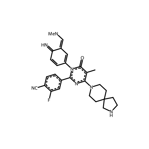 CN/C=C1/C=C(n2c(-c3ccc(C#N)c(F)c3)nc(N3CCC4(CCNC4)CC3)c(C)c2=O)C=CC1=N